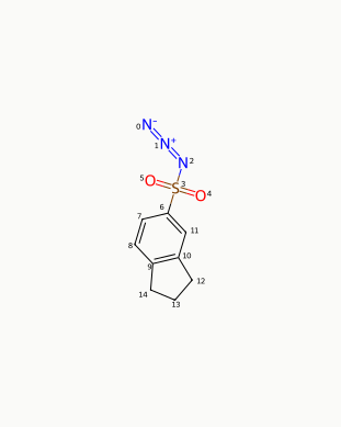 [N-]=[N+]=NS(=O)(=O)c1ccc2c(c1)CCC2